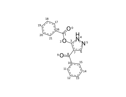 O=C(Oc1[nH]ncc1C(=O)c1ccccc1)c1ccccc1